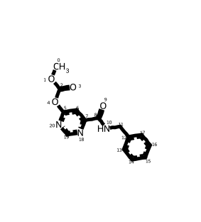 COC(=O)Oc1cc(C(=O)NCc2ccccc2)ncn1